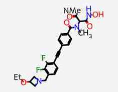 CCOC1CN(Cc2ccc(C#Cc3ccc(C(=O)N(C)C(C(=O)NC)C(=O)NO)cc3)c(F)c2F)C1